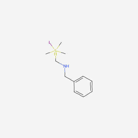 C[SH](C)(C)(I)CNCc1ccccc1